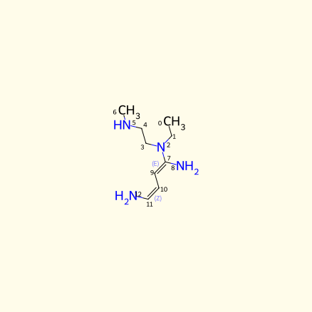 CCN(CCNC)/C(N)=C/C=C\N